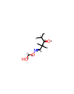 CC(C)C(=O)C(C)(C)C=NOCO